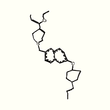 C/C=C(\OCC)C1CCN(Cc2ccc3cc(OC4CCC(CCC)CC4)ccc3c2)CC1